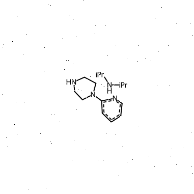 CC(C)NC(C)C.c1ccc(N2CCNCC2)nc1